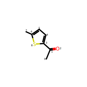 CC(=O)c1ccc(C)s1